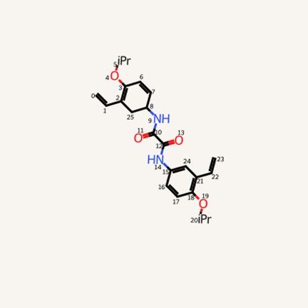 C=CC1=C(OC(C)C)C=CC(NC(=O)C(=O)Nc2ccc(OC(C)C)c(C=C)c2)C1